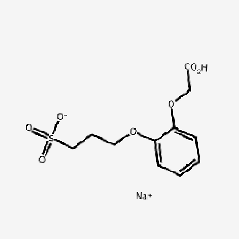 O=C(O)COc1ccccc1OCCCS(=O)(=O)[O-].[Na+]